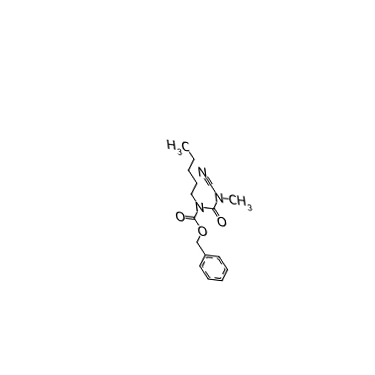 CCCCCN(C(=O)OCc1ccccc1)C(=O)N(C)C#N